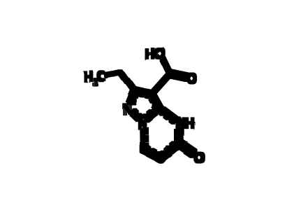 CCc1nn2ccc(=O)[nH]c2c1C(=O)O